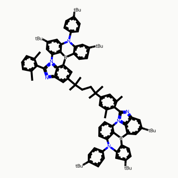 Cc1cc(C(C)(C)CCC(C)(C)c2cc3c4c(c2)nc(-c2c(C)cccc2C)n4-c2cc(C(C)(C)C)cc4c2B3c2ccc(C(C)(C)C)cc2N4c2ccc(C(C)(C)C)cc2)cc(C)c1-c1nc2cc(C(C)(C)C)cc3c2n1-c1cccc2c1B3c1ccc(C(C)(C)C)cc1N2c1ccc(C(C)(C)C)cc1